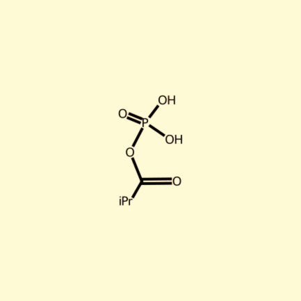 CC(C)C(=O)OP(=O)(O)O